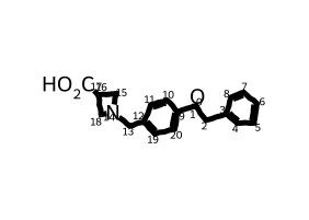 O=C(Cc1ccccc1)c1ccc(CN2CC(C(=O)O)C2)cc1